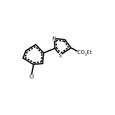 CCOC(=O)c1cnc(-c2cccc(Cl)c2)s1